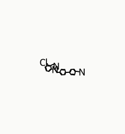 N#Cc1ccc(-c2ccc(Cn3ncc4c(Cl)cccc43)cc2)cc1